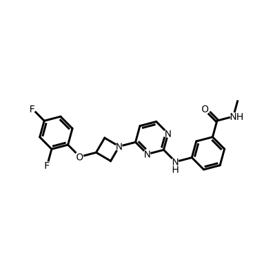 CNC(=O)c1cccc(Nc2nccc(N3CC(Oc4ccc(F)cc4F)C3)n2)c1